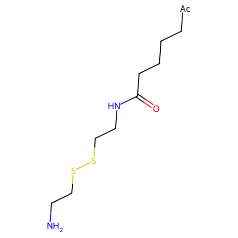 CC(=O)CCCCC(=O)NCCSSCCN